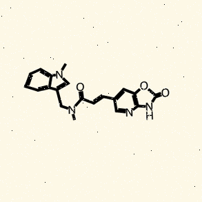 CN(Cc1cn(C)c2ccccc12)C(=O)/C=C/c1cnc2[nH]c(=O)oc2c1